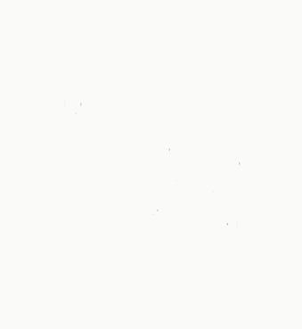 C=CCOC(=O)C(=O)O